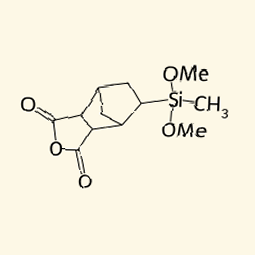 CO[Si](C)(OC)C1CC2CC1C1C(=O)OC(=O)C21